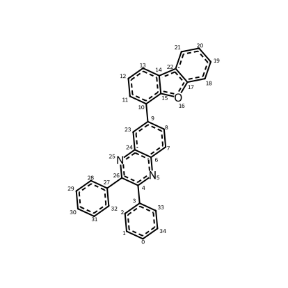 c1ccc(-c2nc3ccc(-c4cccc5c4oc4ccccc45)cc3nc2-c2ccccc2)cc1